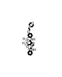 Cc1cc(OCCN2CCOCC2)ccc1NC(=O)c1ncn(-c2nc3ccccc3[nH]2)c1C(N)=O